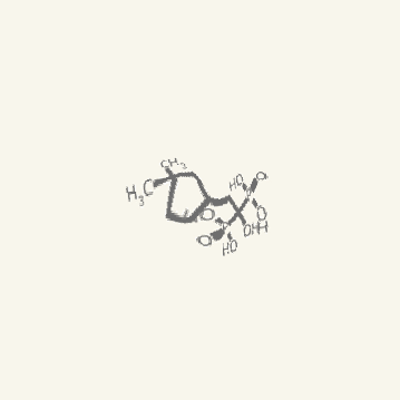 CC1(C)CCC(=CC(O)(P(=O)(O)O)P(=O)(O)O)C1